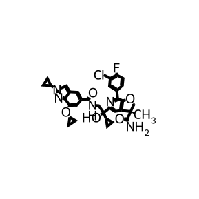 C[C@]1(C(N)=O)COc2c1cc(C(O)(CNC(=O)c1cc(OC3CC3)c3nn(C4CC4)cc3c1)C1CC1)nc2-c1ccc(F)c(Cl)c1